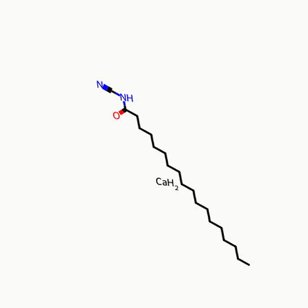 CCCCCCCCCCCCCCCCCC(=O)NC#N.[CaH2]